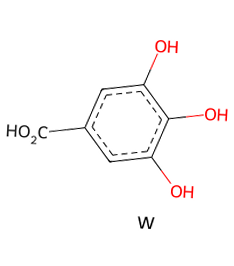 O=C(O)c1cc(O)c(O)c(O)c1.[W]